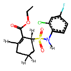 [2H]C1=C(C(=O)OCC)[C@]([2H])(S(=O)(=O)N([2H])c2ccc(F)cc2Cl)CC([2H])([2H])C1